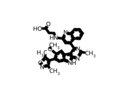 COc1cc2c(cc1-c1c(C)noc1C)[nH]c1nc(C)nc(-c3cc(NCCC(=O)O)nc4ccccc34)c12